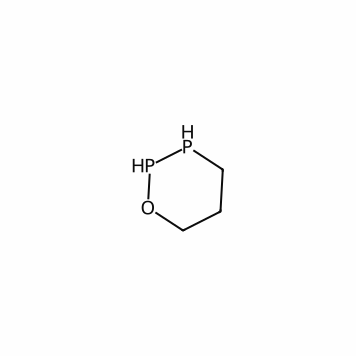 C1COPPC1